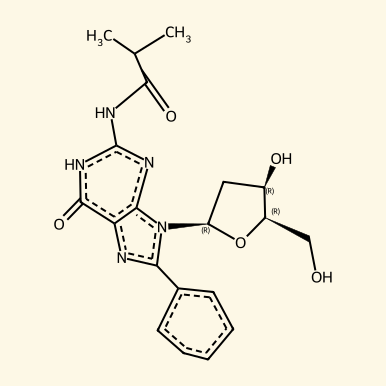 CC(C)C(=O)Nc1nc2c(nc(-c3ccccc3)n2[C@H]2C[C@@H](O)[C@@H](CO)O2)c(=O)[nH]1